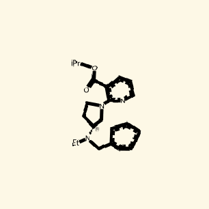 CCN(Cc1ccccc1)[C@@H]1CCN(c2ncccc2C(=O)OC(C)C)C1